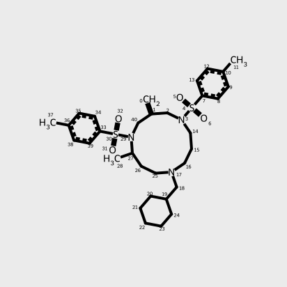 C=C1CN(S(=O)(=O)c2ccc(C)cc2)CCCN(CC2CCCCC2)CCC(C)N(S(=O)(=O)c2ccc(C)cc2)C1